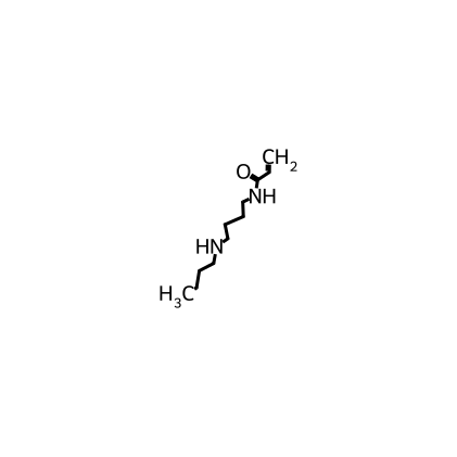 C=CC(=O)NCCCCNCCCC